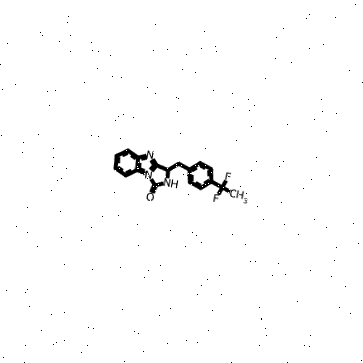 CC(F)(F)c1ccc(CC2NC(=O)n3c2nc2ccccc23)cc1